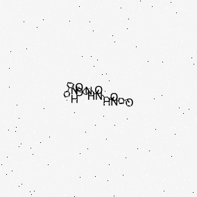 O=Cc1ccc(NC(=O)CCCCNC(=O)CCN2CCC(OC(=O)Nc3ccccc3-c3ccccc3)CC2)cc1